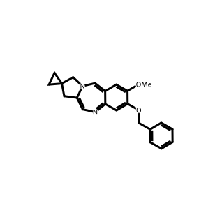 COc1cc2c(cc1OCc1ccccc1)=NC=C1CC3(CC3)CN1C=2